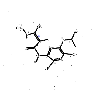 C=C(/C(C)=C(\NC=O)C(F)(F)F)N(C)c1cc(SC(C)C(C)=O)c(Cl)cc1F